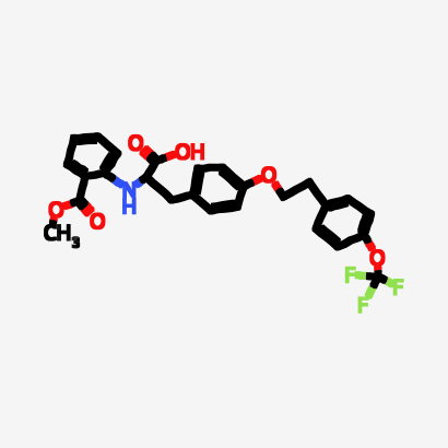 COC(=O)c1ccccc1NC(Cc1ccc(OCCc2ccc(OC(F)(F)F)cc2)cc1)C(=O)O